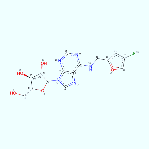 OC[C@H]1OC(n2cnc3c(NCc4cc(F)co4)ncnc32)[C@@H](O)[C@@H]1O